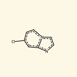 Clc1ccn2[c]cnc2c1